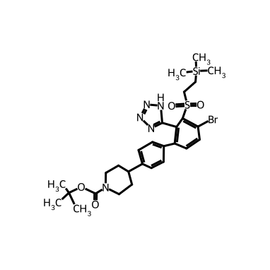 CC(C)(C)OC(=O)N1CCC(c2ccc(-c3ccc(Br)c(S(=O)(=O)CC[Si](C)(C)C)c3-c3nnn[nH]3)cc2)CC1